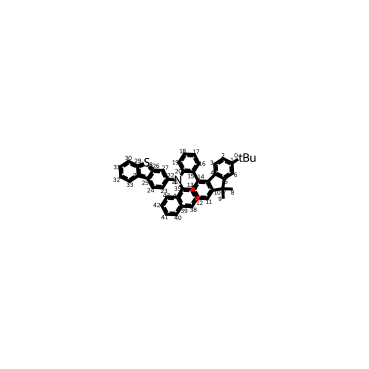 CC(C)(C)c1ccc2c(c1)C(C)(C)c1cccc(-c3ccccc3N(c3ccc4c(c3)sc3ccccc34)c3cccc4ccccc34)c1-2